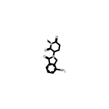 Nc1cccc2c1CN(C1CCC(=O)N(I)C1=O)C2=O